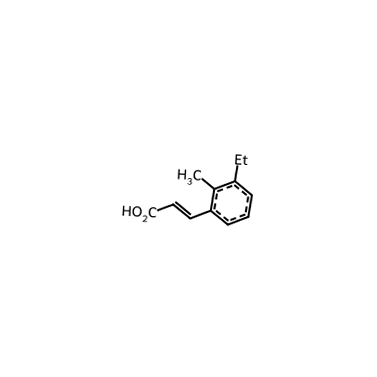 CCc1cccc(C=CC(=O)O)c1C